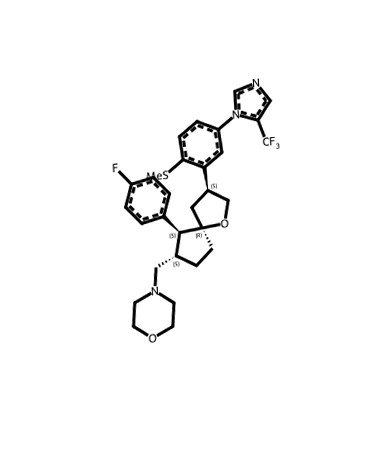 CSc1ccc(-n2cncc2C(F)(F)F)cc1[C@H]1CO[C@]2(CC[C@H](CN3CCOCC3)[C@H]2c2ccc(F)cc2)C1